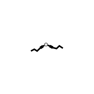 CCCC#COC#CCCC